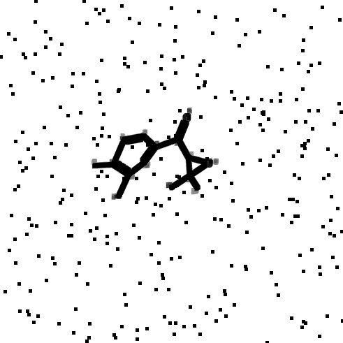 Cc1ccc(C(=O)C2OC2(C)C)cc1C